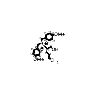 C=CCC[C@H](CO)S(=O)(=O)N(Cc1ccc(OC)cc1)Cc1ccc(OC)cc1